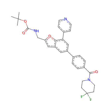 CC(C)(C)OC(=O)NCc1cc2cc(-c3ccc(C(=O)N4CCC(F)(F)CC4)cc3)cc(-c3ccncc3)c2o1